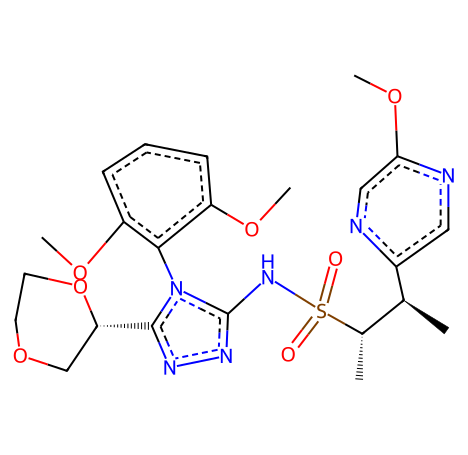 COc1cnc([C@@H](C)[C@H](C)S(=O)(=O)Nc2nnc([C@@H]3COCCO3)n2-c2c(OC)cccc2OC)cn1